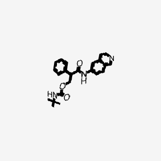 CC(C)(C)NC(=O)OCC(C(=O)Nc1ccc2cnccc2c1)c1ccccc1